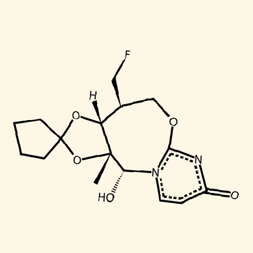 C[C@@]12OC3(CCCC3)O[C@@H]1[C@@H](CF)COc1nc(=O)ccn1[C@@H]2O